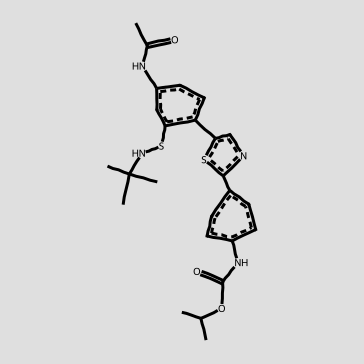 CC(=O)Nc1ccc(-c2cnc(-c3ccc(NC(=O)OC(C)C)cc3)s2)c(SNC(C)(C)C)c1